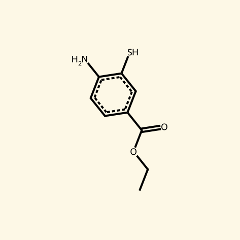 CCOC(=O)c1ccc(N)c(S)c1